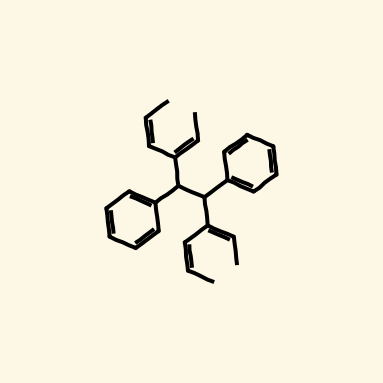 C/C=C\C(=C/C)C(c1ccccc1)C(C(/C=C\C)=C/C)c1ccccc1